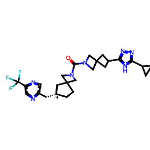 O=C(N1CC2(CC(c3nnc(C4CC4)[nH]3)C2)C1)N1CC2(CC[C@H](Cc3cnc(C(F)(F)F)cn3)C2)C1